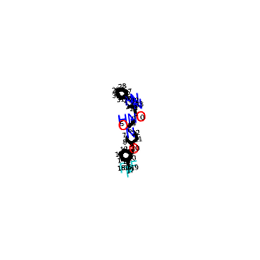 O=C(NCC(=O)N1CCC(Oc2cccc(C(F)(F)F)c2)CC1)c1cn(-c2ccccc2)nn1